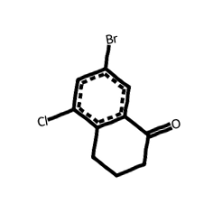 O=C1CCCc2c(Cl)cc(Br)cc21